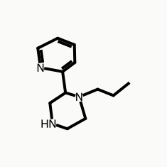 CCCN1CCNCC1c1ccccn1